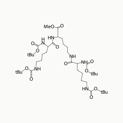 COC(=O)C(CCCCNC(=O)C(CCCCNC(=O)OC(C)(C)C)NC(=O)OC(C)(C)C)NC(=O)C(CCCCNC(=O)OC(C)(C)C)NC(=O)OC(C)(C)C